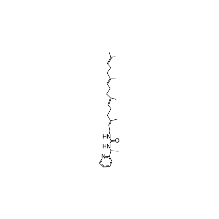 CC(C)=CCC/C(C)=C/CC/C(C)=C/CC/C(C)=C/CNC(=O)NC(C)c1ccccn1